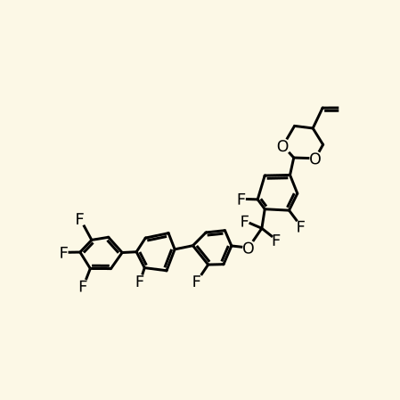 C=CC1COC(c2cc(F)c(C(F)(F)Oc3ccc(-c4ccc(-c5cc(F)c(F)c(F)c5)c(F)c4)c(F)c3)c(F)c2)OC1